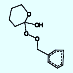 OC1(OOCc2ccccc2)CCCCO1